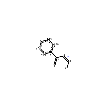 C=C(/C=C\C)c1nncnn1